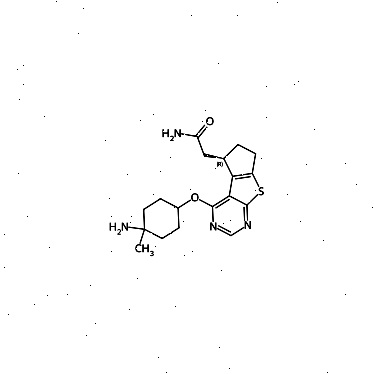 CC1(N)CCC(Oc2ncnc3sc4c(c23)[C@@H](CC(N)=O)CC4)CC1